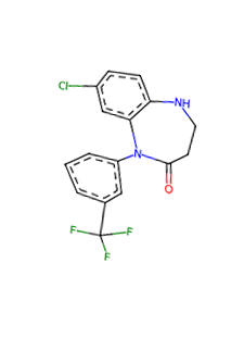 O=C1CCNc2ccc(Cl)cc2N1c1cccc(C(F)(F)F)c1